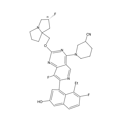 CCc1c(F)ccc2cc(O)cc(-c3ncc4c(N5CCCC(C#N)C5)nc(OCC56CCCN5C[C@H](F)C6)nc4c3F)c12